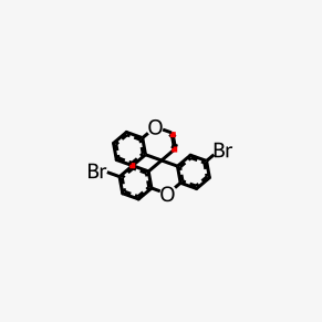 Brc1ccc2c(c1)C1(C3=CCCC=C3Oc3ccccc31)c1cc(Br)ccc1O2